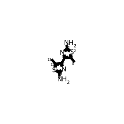 Cc1sc(N)nc1-c1nc(N)sc1C